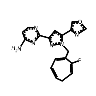 Nc1ccnc(-c2cc(-c3cocn3)n(CC3=CC=CCC=C3F)n2)n1